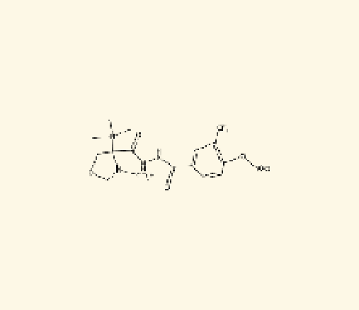 CCCCCCCCOc1ccc(C(=O)NNC(=O)C2([N+](C)(C)C)COCN2C(=O)O)cc1C(F)(F)F